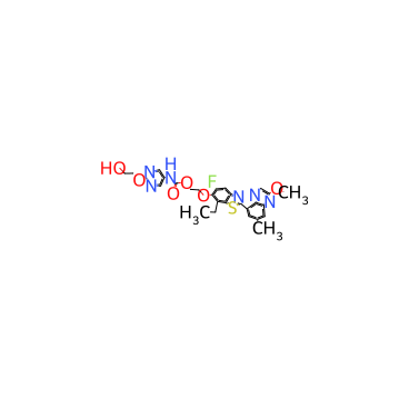 CCc1c(OCCOC(=O)Nc2cnc(OCCO)nc2)c(F)cc2nc(-c3cc(C)cc4nc(OC)cnc34)sc12